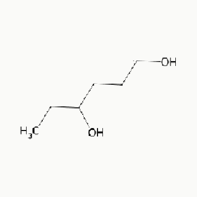 CCC(O)CC[CH]O